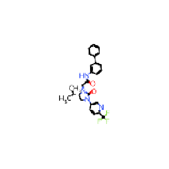 CC(C)[C@H]1CN(c2ccc(C(F)(F)F)nc2)C(=O)N1CC(=O)Nc1cccc(-c2ccccc2)c1